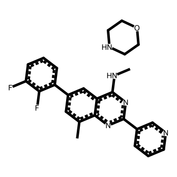 C1COCCN1.CNc1nc(-c2cccnc2)nc2c(C)cc(-c3cccc(F)c3F)cc12